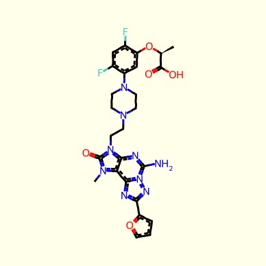 C[C@H](Oc1cc(N2CCN(CCn3c(=O)n(C)c4c3nc(N)n3nc(-c5ccco5)nc43)CC2)c(F)cc1F)C(=O)O